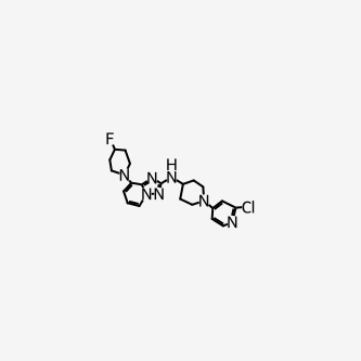 FC1CCN(c2cccn3nc(NC4CCN(c5ccnc(Cl)c5)CC4)nc23)CC1